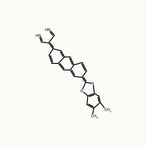 Cc1cc2c(cc1C)S/C(=c1\ccc3cc4cc(=C(C=N)C=N)ccc4cc3c1)O2